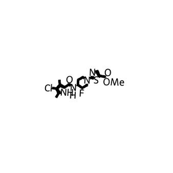 COC(=O)c1cnc(N2CC[C@@H](NC(=O)c3[nH]c(C)c(Cl)c3C)[C@@H](F)C2)s1